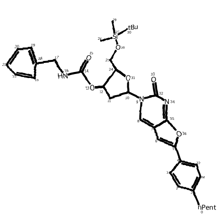 CCCCCc1ccc(-c2cc3cn(C4CC(OC(=O)NCc5ccccc5)C(CO[Si](C)(C)C(C)(C)C)O4)c(=O)nc3o2)cc1